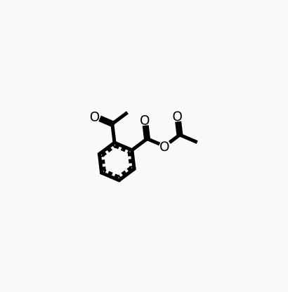 CC(=O)OC(=O)c1ccccc1C(C)=O